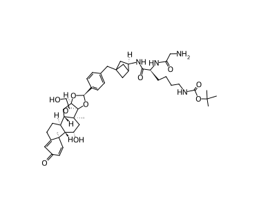 CC(C)(C)OC(=O)NCCCC[C@H](NC(=O)CN)C(=O)N[C@@H]1CC2(Cc3ccc([C@@H]4O[C@@H]5C[C@H]6[C@@H]7CCC8=CC(=O)C=C[C@]8(C)[C@H]7[C@@H](O)C[C@]6(C)[C@]5(C(=O)CO)O4)cc3)CC1C2